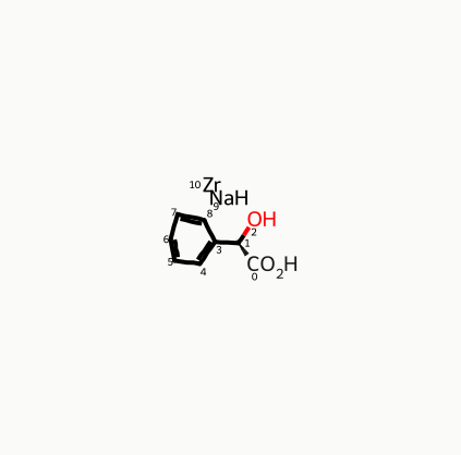 O=C(O)[C@H](O)c1ccccc1.[NaH].[Zr]